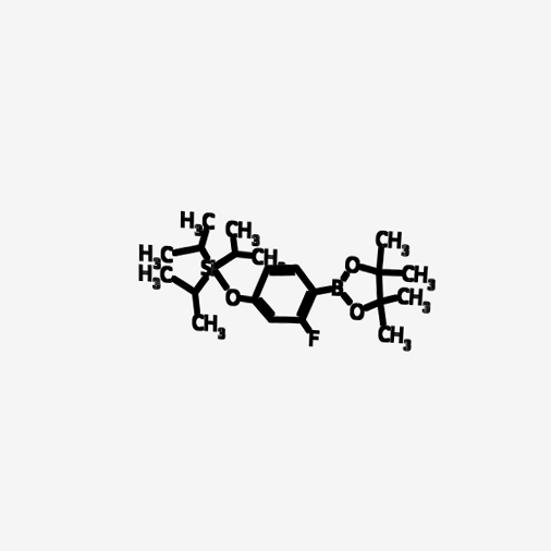 CC(C)[Si](Oc1ccc(B2OC(C)(C)C(C)(C)O2)c(F)c1)(C(C)C)C(C)C